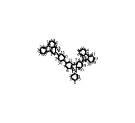 c1ccc(-n2c3ccc(-c4ccc(-c5cc6c7c(cccc7n5)-c5ccccc5-6)cc4)cc3c3cc(-n4c5ccccc5c5ccccc54)ccc32)cc1